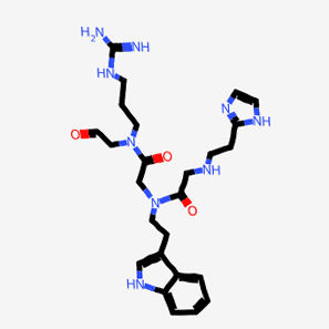 N=C(N)NCCCN(CC=O)C(=O)CN(CCc1c[nH]c2ccccc12)C(=O)CNCCc1ncc[nH]1